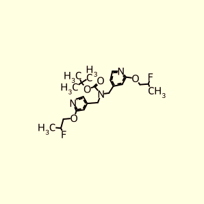 CC(F)COc1cc(CN(Cc2ccnc(OCC(C)F)c2)C(=O)OC(C)(C)C)ccn1